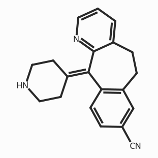 N#Cc1ccc2c(c1)CCc1cccnc1C2=C1CCNCC1